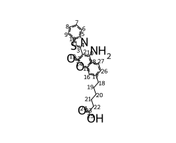 Nc1c(-c2nc3ccccc3s2)c(=O)oc2cc(CCCCCC(=O)O)ccc12